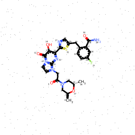 C=C1CN(C(=O)Cn2ccn3c(=O)c(O)c(-c4ncc(Cc5ccc(F)cc5C(N)=O)s4)nc23)C[C@H](C)O1